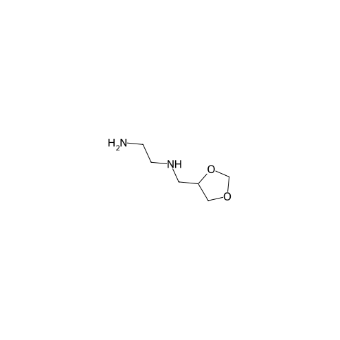 NCCNCC1COCO1